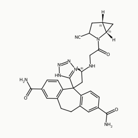 N#CC1C[C@@H]2C[C@@H]2N1C(=O)CN[C@H](I)CC1(c2nnn[nH]2)c2ccc(C(N)=O)cc2CCc2cc(C(N)=O)ccc21